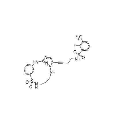 O=S1(=O)NCCCNc2nc(ncc2C#CCCNS(=O)(=O)c2cccc(C(F)(F)F)c2F)Nc2cccc1c2